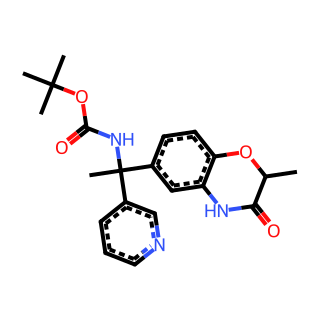 CC1Oc2ccc(C(C)(NC(=O)OC(C)(C)C)c3cccnc3)cc2NC1=O